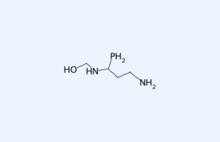 NCCC(P)NCO